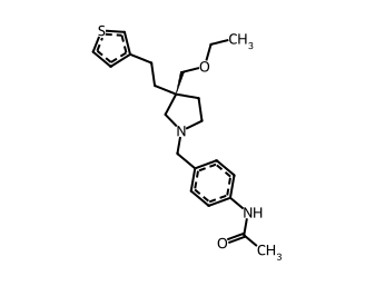 CCOC[C@@]1(CCc2ccsc2)CCN(Cc2ccc(NC(C)=O)cc2)C1